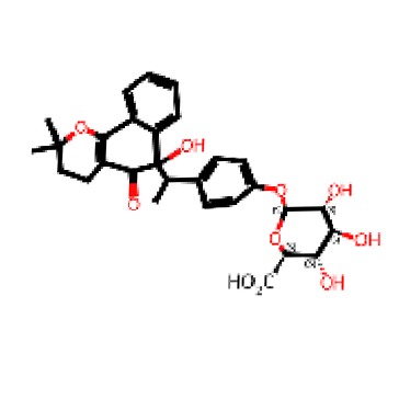 CC(c1ccc(O[C@@H]2O[C@H](C(=O)O)[C@@H](O)[C@H](O)[C@H]2O)cc1)C1(O)C(=O)C2=C(OC(C)(C)CC2)c2ccccc21